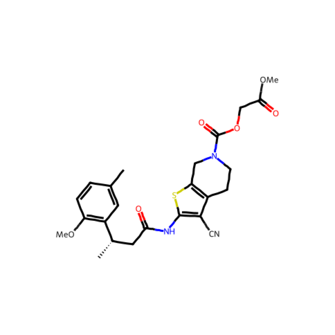 COC(=O)COC(=O)N1CCc2c(sc(NC(=O)C[C@H](C)c3cc(C)ccc3OC)c2C#N)C1